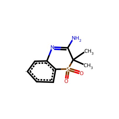 CC1(C)C(N)=Nc2c[c]ccc2S1(=O)=O